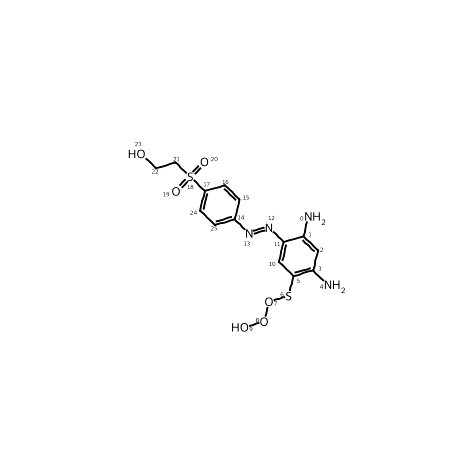 Nc1cc(N)c(SOOO)cc1N=Nc1ccc(S(=O)(=O)CCO)cc1